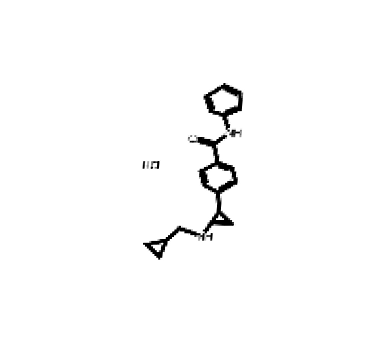 Cl.O=C(Nc1ccccc1)c1ccc(C2CC2NCC2CC2)cc1